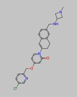 CN1CC(NCc2ccc3c(c2)CCC(n2ccc(OCc4ccc(Cl)cn4)cc2=O)=C3)C1